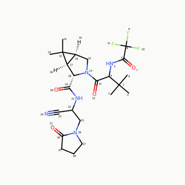 CC(C)(C)C(NC(=O)C(F)(F)F)C(=O)N1C[C@H]2[C@@H]([C@H]1C(=O)NC(C#N)CN1CCCC1=O)C2(C)C